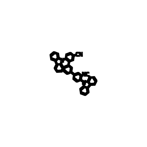 N#Cc1ccc(-n2c3ccccc3c3ccccc32)c(-c2cccc(-c3ccc(-n4c5ccccc5c5cccc(C#N)c54)cc3)c2)c1